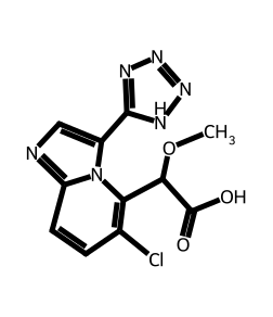 COC(C(=O)O)c1c(Cl)ccc2ncc(-c3nnn[nH]3)n12